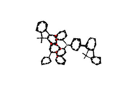 CC1(C)c2ccccc2-c2ccc(-c3ccccc3N(c3ccc(-c4cccc5c4C(C)(C)c4ccccc4-5)cc3)c3ccccc3-c3ccc(-c4ccccc4)c(-c4ccccc4)c3)cc21